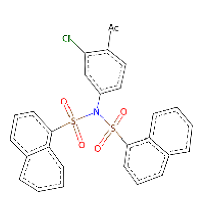 CC(=O)c1ccc(N(S(=O)(=O)c2cccc3ccccc23)S(=O)(=O)c2cccc3ccccc23)cc1Cl